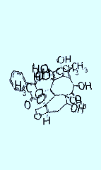 CC(=O)O[C@@]12CO[C@@H]1CC(O)[C@@]1(C)C(=O)[C@H](O)C3=C(C)[C@@H](O)[C@H](O)[C@@](O)([C@@H](OC(=O)c4ccccc4)C12)C3(C)C